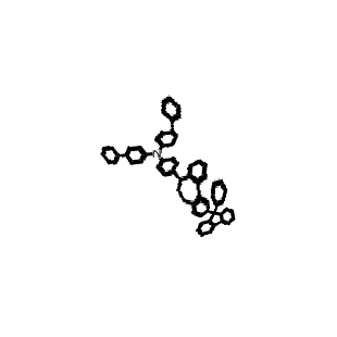 c1ccc(-c2ccc(N(c3ccc(-c4ccccc4)cc3)c3ccc(C4CCc5ccc(C6(c7ccccc7)c7ccccc7-c7ccccc76)cc5-c5ccccc54)cc3)cc2)cc1